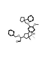 COc1ccc(C2CN(C(C=O)OCc3ccccc3)CC2(C)[C@@H](C)O)cc1OCC1(c2ccccc2)CCCC1